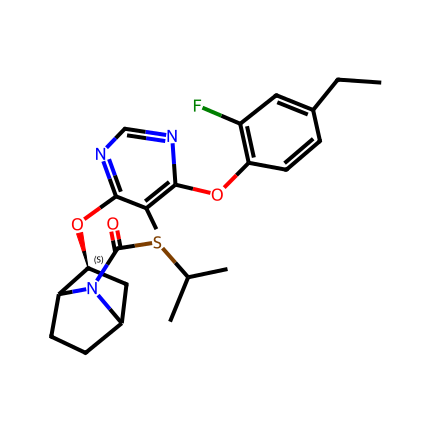 CCc1ccc(Oc2ncnc(O[C@H]3CC4CCC3N4C(=O)SC(C)C)c2C)c(F)c1